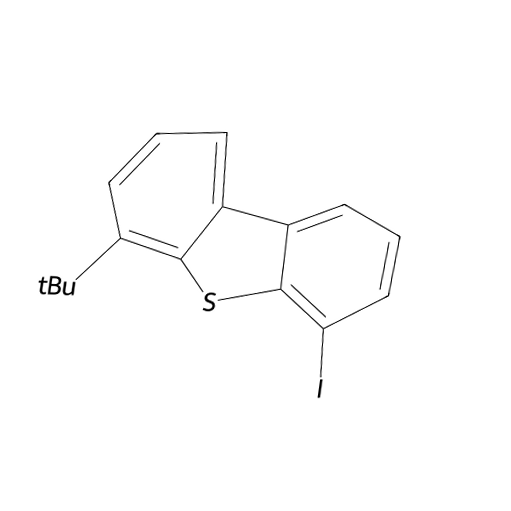 CC(C)(C)c1cccc2c1sc1c(I)cccc12